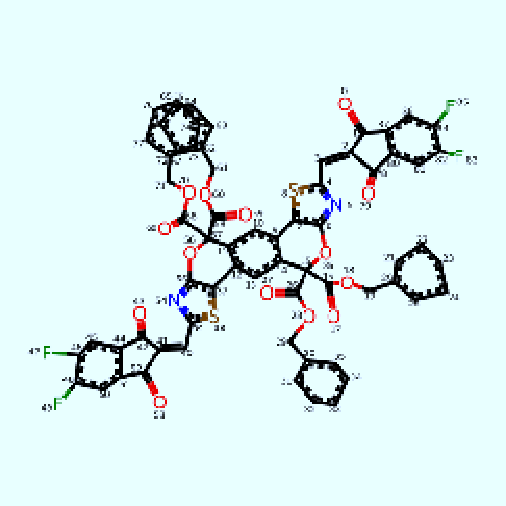 O=C1C(=Cc2nc3c(s2)-c2cc4c(cc2C(C(=O)OCc2ccccc2)(C(=O)OCc2ccccc2)O3)-c2sc(C=C3C(=O)c5cc(F)c(F)cc5C3=O)nc2OC4(C(=O)OCc2ccccc2)C(=O)OCc2ccccc2)C(=O)c2cc(F)c(F)cc21